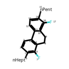 CCCCCCCc1ccc2c(c1F)CCc1c-2ccc(CCCCC)c1F